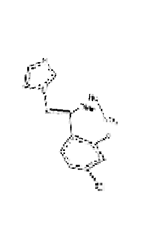 COC(=Cn1ccnc1)c1ccc(Cl)cc1Cl.O=[N+]([O-])O